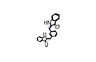 O=C1/C(=C/c2cccc(/C=C3/Nc4ccccc4C3=O)c2)Nc2ccccc21